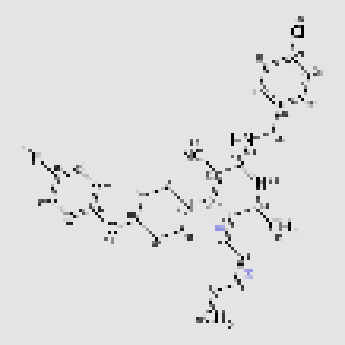 C=C/C=C\C=C1\C(N2CCC(Oc3ccc(F)cc3)CC2)=C(C#N)C(NCc2ccc(Cl)cc2)=NC1C